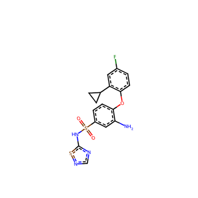 Nc1cc(S(=O)(=O)Nc2ncns2)ccc1Oc1ccc(F)cc1C1CC1